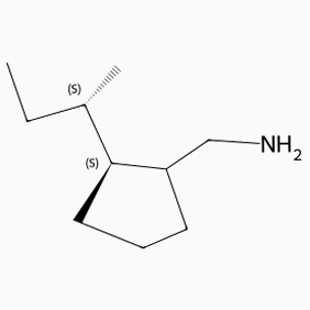 CC[C@H](C)[C@@H]1CCCC1CN